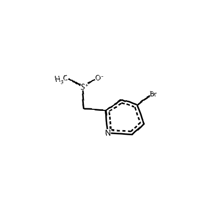 C[S+]([O-])Cc1cc(Br)ccn1